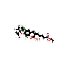 CCOC(=O)CCCCC(Cc1cc(F)c(O[Si](C(C)C)(C(C)C)C(C)C)c(F)c1)C(=O)O